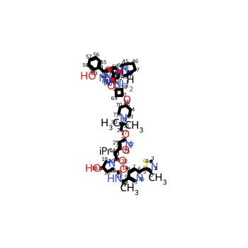 Cc1ncsc1-c1ccc([C@H](C)NC(=O)[C@@H]2C[C@@H](O)CN2C(=O)[C@@H](c2cc(OCC(C)(C)N3CCC(OC4CC(Oc5cc(N6C7CC[C@@H]6CN(c6cc(-c8ccccc8O)nnc6N)C7)ccn5)C4)CC3)no2)C(C)C)cn1